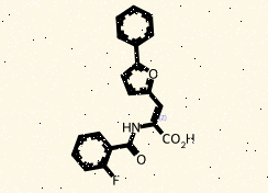 O=C(O)/C(=C/c1ccc(-c2ccccc2)o1)NC(=O)c1ccccc1F